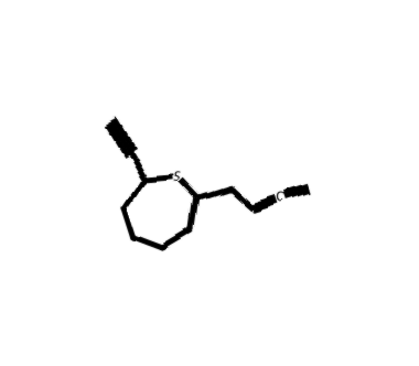 C#CC1CCCCC(CC=C=C)S1